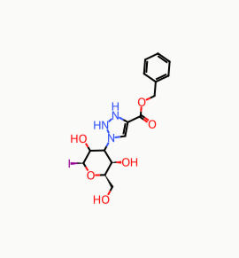 O=C(OCc1ccccc1)C1=CN(C2C(O)[C@H](I)O[C@H](CO)[C@@H]2O)NN1